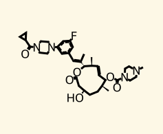 C/C(=C\c1cc(F)cc(N2CCN(C(=O)C3CC3)CC2)c1)[C@H]1OC(=O)C[C@H](O)CC[C@H](C)[C@@H](OC(=O)N2CCN(C)CC2)/C=C/[C@@H]1C